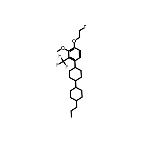 CCCC1CCC(C2CCC(c3ccc(OCCF)c(OC)c3C(F)(F)F)CC2)CC1